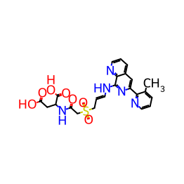 Cc1cccnc1-c1cc2cccnc2c(NC=CCS(=O)(=O)CC(=O)NC(CC(=O)O)C(=O)O)n1